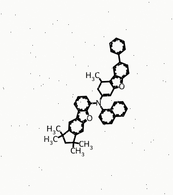 CC1CC(N(c2cccc3ccccc23)c2cccc3c2oc2cc4c(cc23)C(C)(C)CC4(C)C)=Cc2oc3ccc(-c4ccccc4)cc3c21